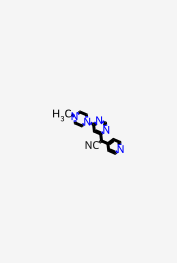 CN1CCN(c2cc(C(C#N)c3ccncc3)ncn2)CC1